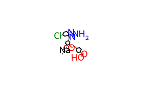 COc1ccc(-c2nc(N)nc3ccc(Cl)cc23)cc1OCc1ccc(C(=O)O)cc1.[Na]